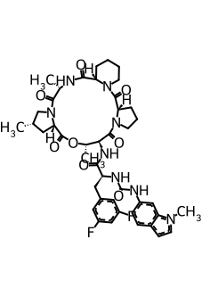 C[C@H]1C[C@H]2C(=O)O[C@@H](C)[C@H](NC(=O)[C@H](Cc3cc(F)cc(F)c3)NC(=O)Nc3ccc4ccn(C)c4c3)C(=O)N3CCC[C@H]3C(=O)N3CCCC[C@H]3C(=O)N[C@@H](C)C(=O)N2C1